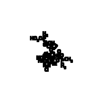 CC(C)=C1OC(=O)N(c2cc(OC3CCCC3)c(Cl)cc2F)C1=O.CCNc1nc(Cl)nc(NC(C)(C)C#N)n1.CP(=O)(O)CCC(N)C(=O)O